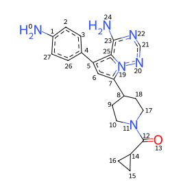 Nc1ccc(-c2cc(C3CCN(C(=O)C4CC4)CC3)n3ncnc(N)c23)cc1